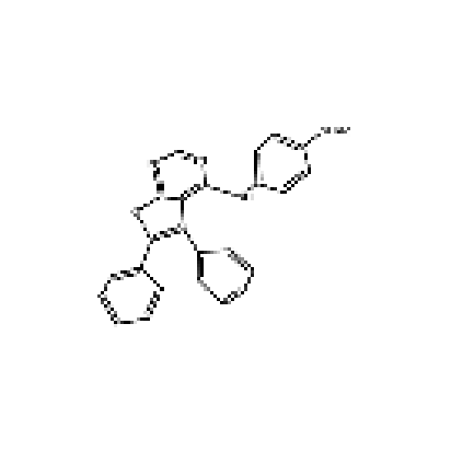 CC(=O)Nc1ccc(Nc2ncnc3oc(-c4ccccc4)c(-c4ccccc4)c23)cc1